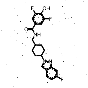 O=C(NCC1CCC(n2cc3ccc(F)cc3n2)CC1)c1cc(F)c(O)c(F)c1